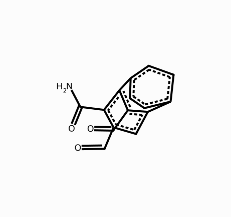 NC(=O)c1c(C=O)cc2c(C=O)c1-c1ccc-2cc1